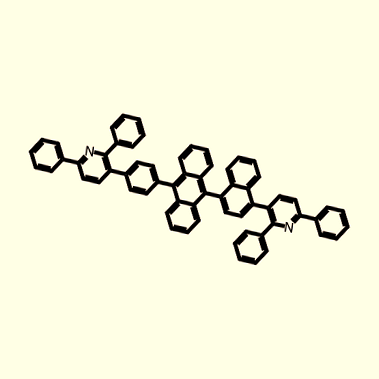 c1ccc(-c2ccc(-c3ccc(-c4c5ccccc5c(-c5ccc(-c6ccc(-c7ccccc7)nc6-c6ccccc6)c6ccccc56)c5ccccc45)cc3)c(-c3ccccc3)n2)cc1